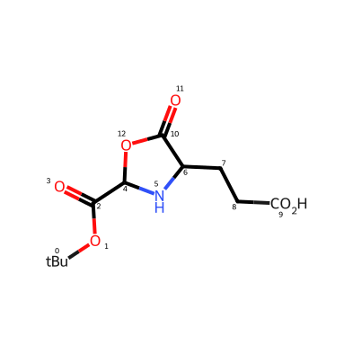 CC(C)(C)OC(=O)C1NC(CCC(=O)O)C(=O)O1